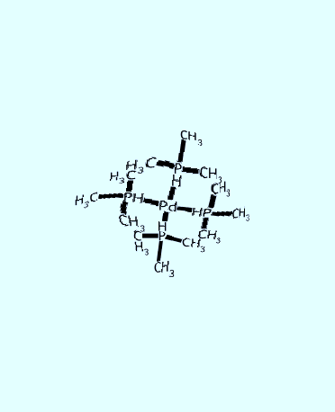 C[PH](C)(C)[Pd]([PH](C)(C)C)([PH](C)(C)C)[PH](C)(C)C